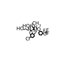 CCN1c2nc(Oc3cccc(OC(F)(F)F)c3)n(Cc3ccc(Cl)cc3)c2C(=O)N(CCCO)C1O